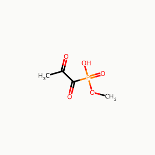 COP(=O)(O)C(=O)C(C)=O